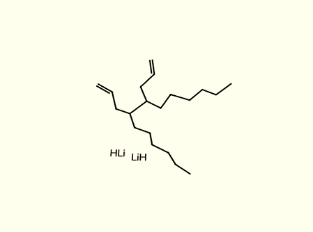 C=CCC(CCCCCC)C(CC=C)CCCCCC.[LiH].[LiH]